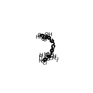 CC1(C)[C@H](NC(=O)c2ccc(N3CCC(CC4CCN(c5ccc6c(c5)C(=O)N(C5CCC(=O)NC5=O)C6O)CC4)CC3)cc2)C(C)(C)[C@H]1Oc1ccc(C#N)c(Cl)c1